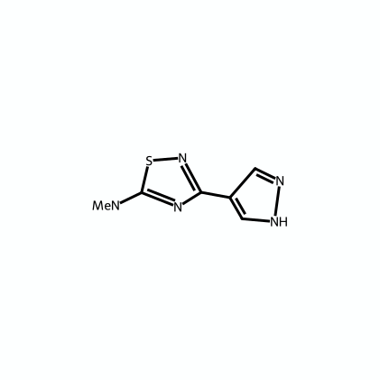 CNc1nc(-c2cn[nH]c2)ns1